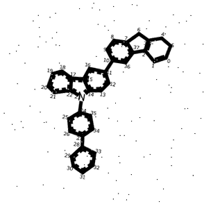 C1=CC2=C(CC1)Cc1ccc(-c3ccc4c(c3)c3ccccc3n4-c3ccc(-c4ccccc4)cc3)cc12